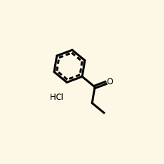 CCC(=O)c1ccccc1.Cl